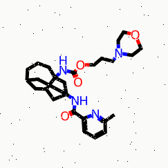 Cc1cccc(C(=O)NC23CC4CCCC(NC(=O)OCCCN5CCOCC5)(C2)C(C4)C3)n1